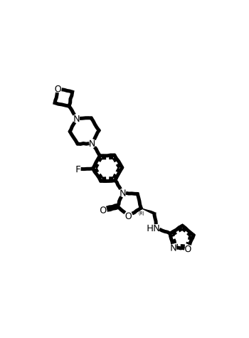 O=C1O[C@H](CNc2ccon2)CN1c1ccc(N2CCN(C3COC3)CC2)c(F)c1